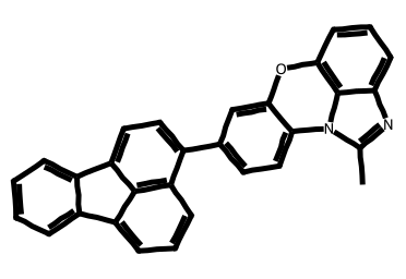 Cc1nc2cccc3c2n1-c1ccc(-c2ccc4c5c(cccc25)-c2ccccc2-4)cc1O3